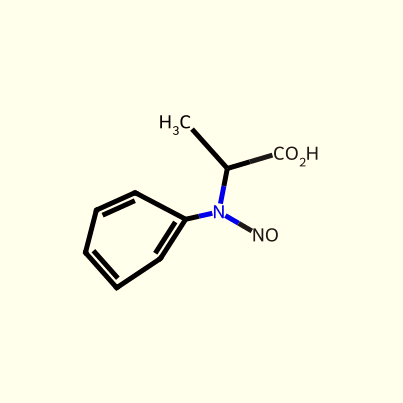 CC(C(=O)O)N(N=O)c1ccccc1